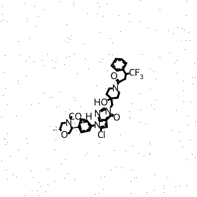 C[C@@H]1CN(C(=O)O)[C@@H](c2ccc(-n3c(Cl)cc4c(=O)n(CC5(O)CCN(C(=O)CC(c6ccccc6)C(F)(F)F)CC5)cnc43)cc2)CO1